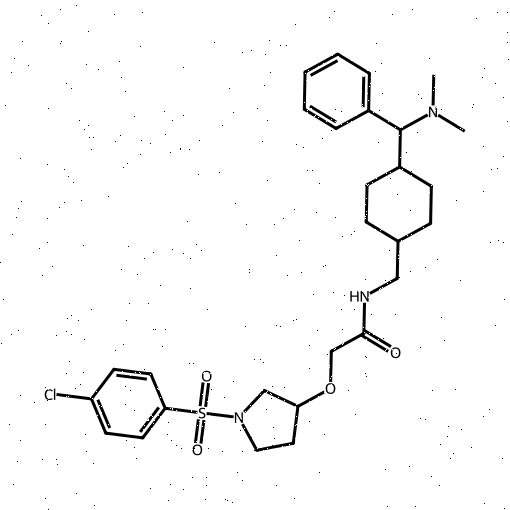 CN(C)C(c1ccccc1)C1CCC(CNC(=O)COC2CCN(S(=O)(=O)c3ccc(Cl)cc3)C2)CC1